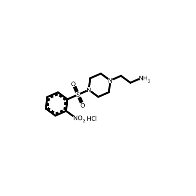 Cl.NCCN1CCN(S(=O)(=O)c2ccccc2[N+](=O)[O-])CC1